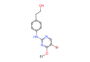 CCOc1nc(Nc2ccc(CCO)cc2)ncc1Br